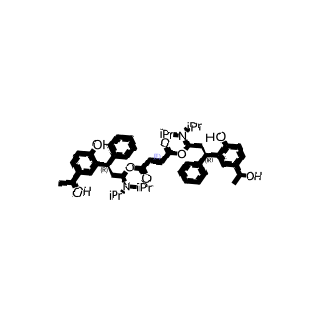 CC(O)c1ccc(O)c([C@H](CC(OC(=O)/C=C/C(=O)OC(C[C@H](c2ccccc2)c2cc(C(C)O)ccc2O)N(C(C)C)C(C)C)N(C(C)C)C(C)C)c2ccccc2)c1